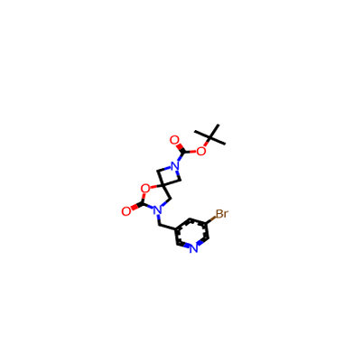 CC(C)(C)OC(=O)N1CC2(C1)CN(Cc1cncc(Br)c1)C(=O)O2